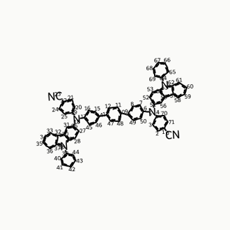 N#Cc1ccc(N(c2ccc(-c3ccc(-c4ccc(N(c5ccc(C#N)cc5)c5ccc6c(c5)c5ccccc5n6-c5ccccc5)cc4)cc3)cc2)c2ccc3c(c2)c2ccccc2n3-c2ccccc2)cc1